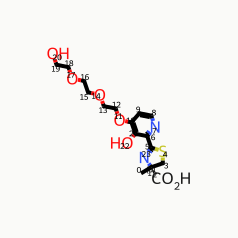 C[C@]1(C(=O)O)CSC(c2nccc(OCCOCCOCCO)c2O)=N1